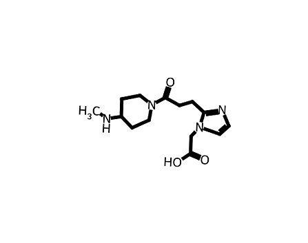 CNC1CCN(C(=O)CCc2nccn2CC(=O)O)CC1